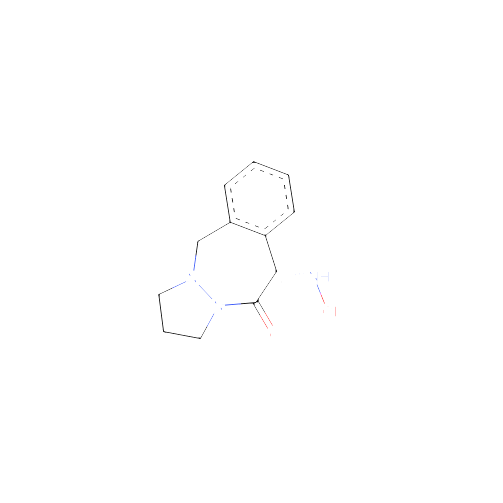 O=C1[C@@H](NO)c2ccccc2CN2CCCN12